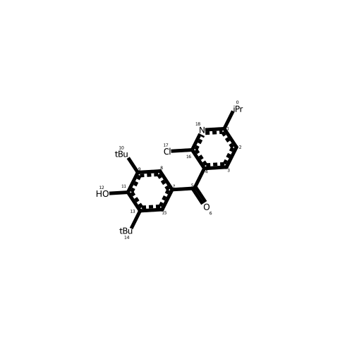 CC(C)c1ccc(C(=O)c2cc(C(C)(C)C)c(O)c(C(C)(C)C)c2)c(Cl)n1